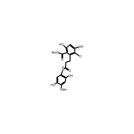 COC(=O)c1c(O)cc(O)c(Cl)c1CCC(=O)Nc1cc(O)c(OC)cc1O